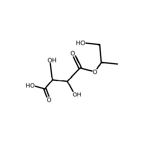 CC(CO)OC(=O)C(O)C(O)C(=O)O